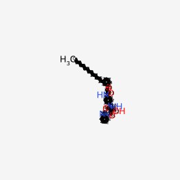 CCCCCCCCCCCCCCCc1cccc(OCC(=O)Nc2ccc(-n3[nH]c(O)c(C(=O)n4cnc5ccccc54)c3=O)cc2)c1